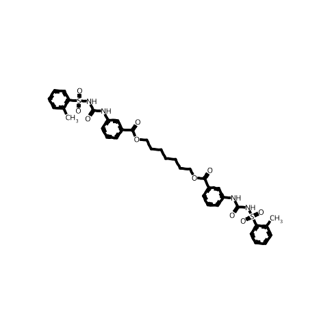 Cc1ccccc1S(=O)(=O)NC(=O)Nc1cccc(C(=O)OCCCCCCCOC(=O)c2cccc(NC(=O)NS(=O)(=O)c3ccccc3C)c2)c1